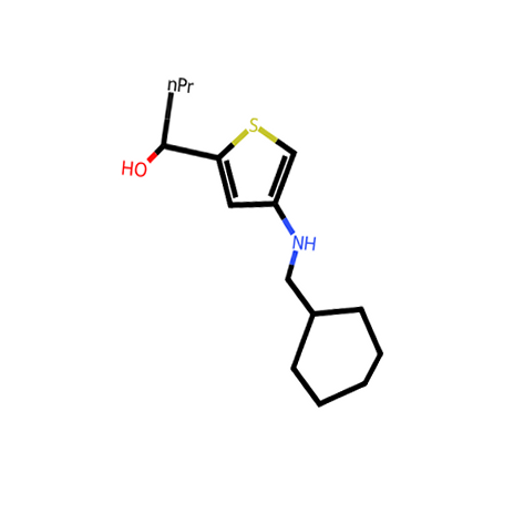 CCCC(O)c1cc(NCC2CCCCC2)cs1